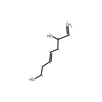 C=CC(O)CC=CCCO